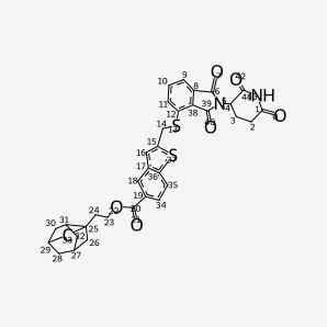 O=C1CCC(N2C(=O)c3cccc(SCc4cc5cc(C(=O)OCCC67CC8CC(CC6C8)C7)ccc5s4)c3C2=O)C(=O)N1